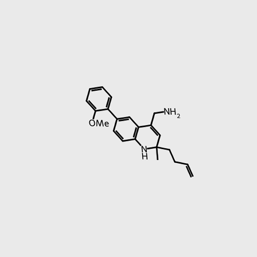 C=CCCC1(C)C=C(CN)c2cc(-c3ccccc3OC)ccc2N1